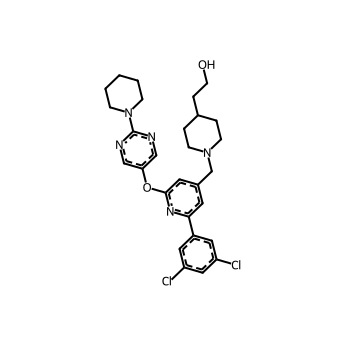 OCCC1CCN(Cc2cc(Oc3cnc(N4CCCCC4)nc3)nc(-c3cc(Cl)cc(Cl)c3)c2)CC1